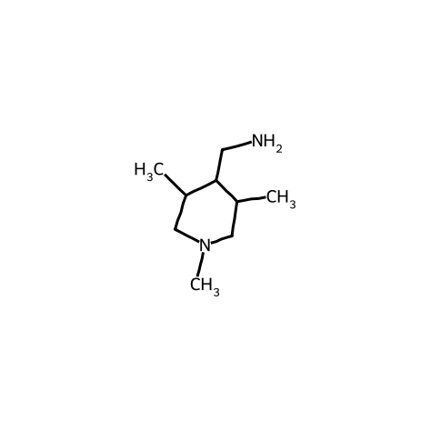 CC1CN(C)CC(C)C1CN